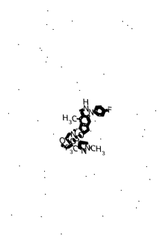 C[C@H]1C2=CNN(c3ccc(F)cc3)C2=CC2=C1[C@@H](CN(CC1CCCO1)S(=O)(=O)c1cn(C)nc1C(F)(F)F)CC2